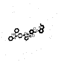 Cc1ccc2cccc(OCc3c(Cl)ccc(S(=O)(=O)N4CCC[C@H]4C(=O)N4CCN(C(=NC5CCCCC5)NC5CCCCC5)CC4)c3Cl)c2n1